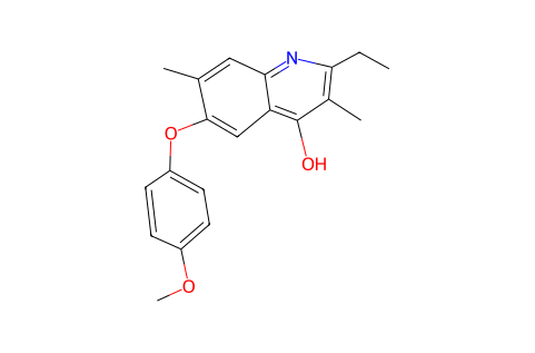 CCc1nc2cc(C)c(Oc3ccc(OC)cc3)cc2c(O)c1C